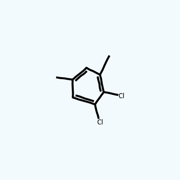 Cc1cc(C)c(Cl)c(Cl)c1